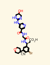 N#CC1(c2cc(Br)cc([C@H](CC(=O)O)NC(=O)CNC(=O)c3cncc(NC4=NCC(O)CN4)c3)c2)CCOCC1